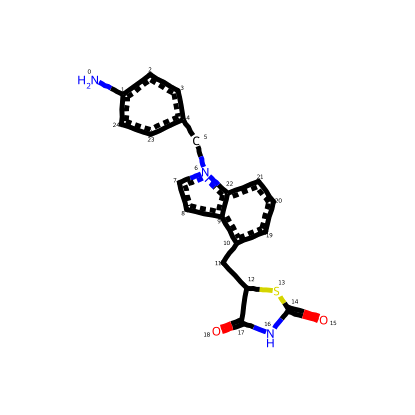 Nc1ccc(Cn2ccc3c(CC4SC(=O)NC4=O)cccc32)cc1